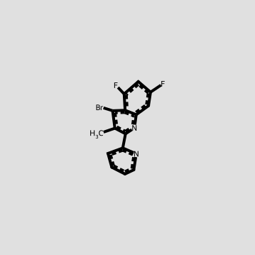 Cc1c(-c2ccccn2)nc2cc(F)cc(F)c2c1Br